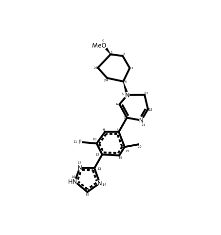 CO[C@H]1CC[C@@H](N2C=C(c3cc(F)c(-c4nc[nH]n4)cc3C)N=CC2)CC1